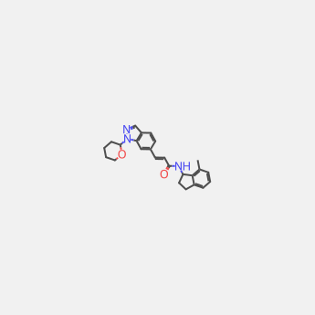 Cc1cccc2c1C(NC(=O)C=Cc1ccc3cnn(C4CCCCO4)c3c1)CC2